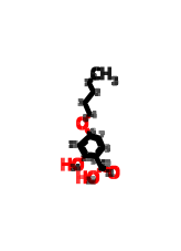 CCCCCOc1ccc(C(=O)O)c(O)c1